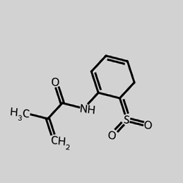 C=C(C)C(=O)NC1=CC=CCC1=S(=O)=O